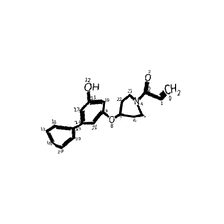 C=CC(=O)N1CCC(Oc2cc(O)cc(-c3ccccc3)c2)CC1